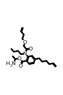 C=CCCCCc1ccc(C(=O)OC(C)N)c(N(CCCC)C(=O)COCCC=C)c1